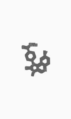 COC(=O)[C@H]1CC[C@@H](n2c(=O)n(C)c3cnc4ccc(Br)cc4c32)CC1